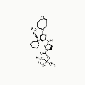 C[C@@H]1COCCN1c1cc(C2(C#N)CCCCC2)cc(Nc2ccn(C(=O)OC(C)(C)C)n2)n1